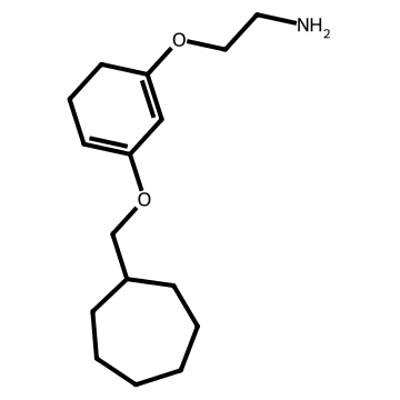 NCCOC1=CC(OCC2CCCCCC2)=CCC1